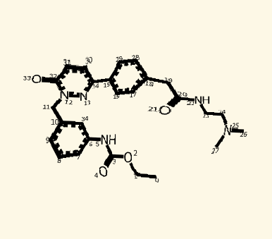 CCOC(=O)Nc1cccc(Cn2nc(-c3ccc(CC(=O)NCCN(C)C)cc3)ccc2=O)c1